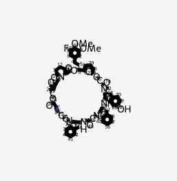 COc1cc(CC[C@H]2OC(=O)[C@@H]3CCCCN3C(=O)C(=O)C(C)(C)COC(=O)/C=C/CCN(C)C(=O)[C@@H](Cc3ccccc3)NC(=O)CN(C)C(=O)[C@@H](Cc3ccccc3)NC(=O)[C@H](Cc3ccc(O)cc3)N(C)C(=O)COc3cccc2c3)cc(F)c1OC